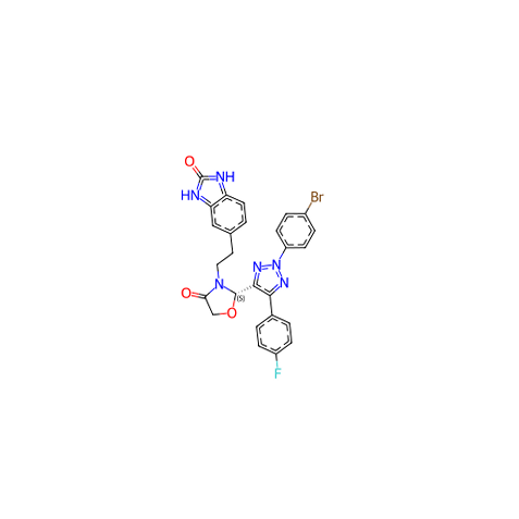 O=C1CO[C@@H](c2nn(-c3ccc(Br)cc3)nc2-c2ccc(F)cc2)N1CCc1ccc2[nH]c(=O)[nH]c2c1